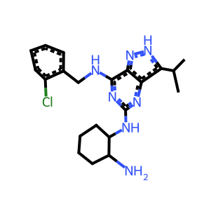 CC(C)c1[nH]nc2c(NCc3ccccc3Cl)nc(NC3CCCCC3N)nc12